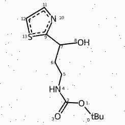 CC(C)(C)OC(=O)NCCC(O)c1nccs1